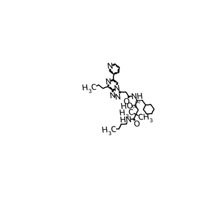 CCCCNC(=O)C(C)(C)C[C@H](O)[C@H](CC1CCCCC1)NC(=O)Cc1nnc2c(CCC)nc(-c3cccnc3)cn12